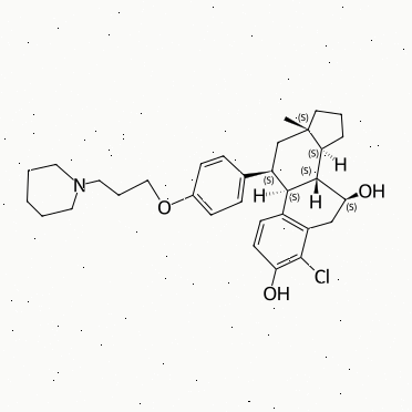 C[C@@]12CCC[C@H]1[C@H]1[C@@H](c3ccc(O)c(Cl)c3C[C@@H]1O)[C@@H](c1ccc(OCCCN3CCCCC3)cc1)C2